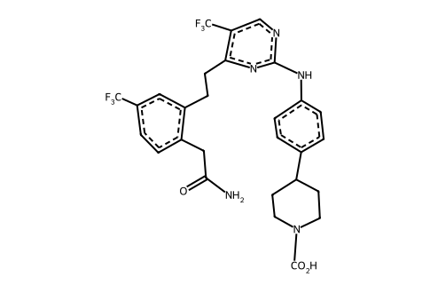 NC(=O)Cc1ccc(C(F)(F)F)cc1CCc1nc(Nc2ccc(C3CCN(C(=O)O)CC3)cc2)ncc1C(F)(F)F